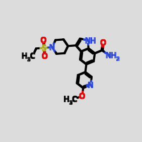 CCS(=O)(=O)N1CCC(c2c[nH]c3c(C(N)=O)cc(-c4ccc(OC)nc4)cc23)CC1